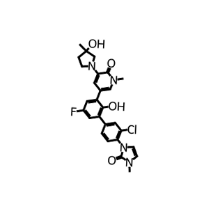 Cn1cc(-c2cc(F)cc(-c3ccc(-n4ccn(C)c4=O)c(Cl)c3)c2O)cc(N2CCC(C)(O)C2)c1=O